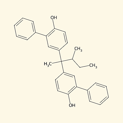 CCC(C)C(C)(c1ccc(O)c(-c2ccccc2)c1)c1ccc(O)c(-c2ccccc2)c1